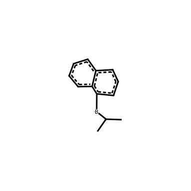 CC(C)[B]c1cccc2ccccc12